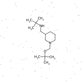 CC(C)(C)NCC1CCCN(COC(C)(C)C)C1